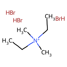 Br.Br.Br.CC[N+](C)(C)CC